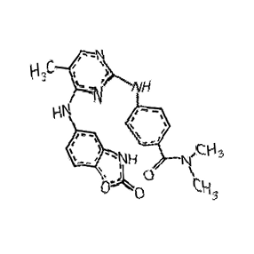 Cc1cnc(Nc2ccc(C(=O)N(C)C)cc2)nc1Nc1ccc2oc(=O)[nH]c2c1